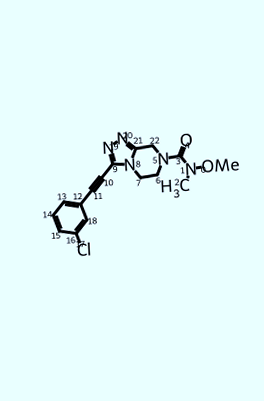 CON(C)C(=O)N1CCn2c(C#Cc3cccc(Cl)c3)nnc2C1